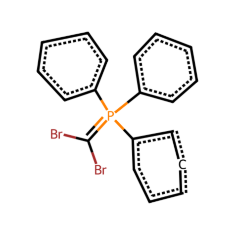 BrC(Br)=P(c1ccccc1)(c1ccccc1)c1ccccc1